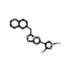 CCc1nn(C)cc1-c1nn2c(Cc3ccc4ncccc4c3)nnc2s1